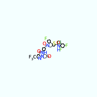 O=C(Nc1c(F)cc(F)cc1Cl)c1cc2c(s1)-c1ccc(F)cc1N(C(=O)c1ccc(NC(=O)c3cc(C(F)(F)F)cnc3N3CCC4(CC3)COC4)cc1)CC2